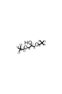 CC(C)(C)COCC(O)COCC(C)(C)C